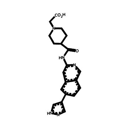 O=C(O)CN1CCC(C(=O)Nc2cc3cc(-c4cn[nH]c4)ccc3cn2)CC1